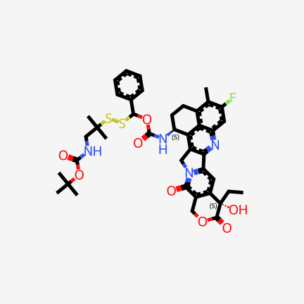 CC[C@@]1(O)C(=O)OCc2c1cc1n(c2=O)Cc2c-1nc1cc(F)c(C)c3c1c2[C@@H](NC(=O)OC(SSC(C)(C)CNC(=O)OC(C)(C)C)c1ccccc1)CC3